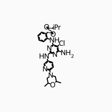 CC1CN(c2ccc(Nc3nc(N)c(Cl)c(Nc4ccccc4S(=O)(=O)C(C)C)n3)cn2)CC(C)O1